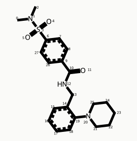 CN(C)S(=O)(=O)c1ccc(C(=O)NCc2ccccc2N2CCCCC2)cc1